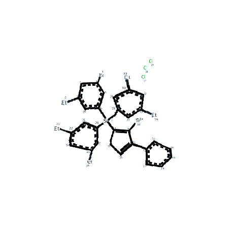 CCc1cc(CC)cc([Si](C2=[C]([Ti+3])C(c3ccccc3)=CC2)(c2cc(CC)cc(CC)c2)c2cc(CC)cc(CC)c2)c1.[Cl-].[Cl-].[Cl-]